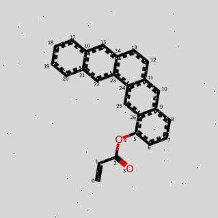 C=CC(=O)Oc1cccc2cc3ccc4cc5ccccc5cc4c3cc12